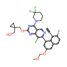 C#Cc1c(F)ccc2cc(OCOC)cc(-c3ncc4c(N5CCCC(F)(F)C5)nc(OCC5(CO)CC5)nc4c3F)c12